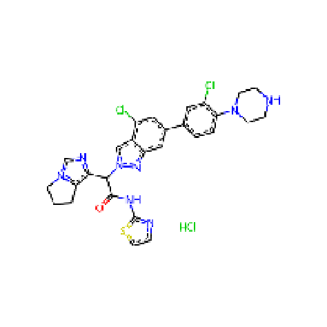 Cl.O=C(Nc1nccs1)C(c1ncn2c1CCC2)n1cc2c(Cl)cc(-c3ccc(N4CCNCC4)c(Cl)c3)cc2n1